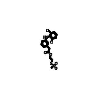 CS(=O)(=O)SCCOC(=O)Cc1cccc(Nc2c(Cl)cccc2Cl)c1